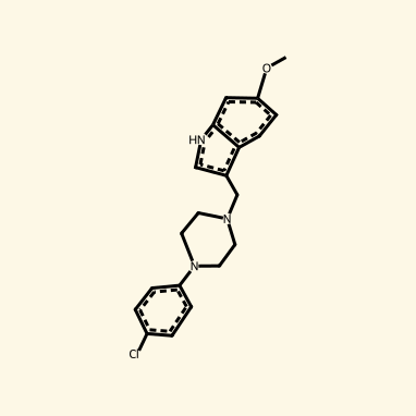 COc1ccc2c(CN3CCN(c4ccc(Cl)cc4)CC3)c[nH]c2c1